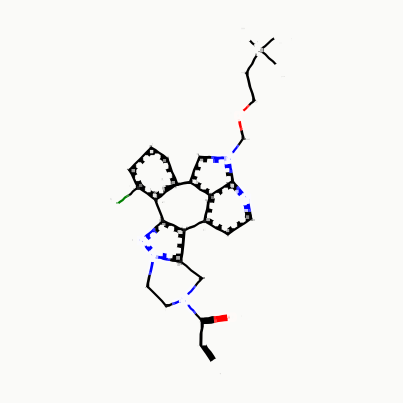 C=CC(=O)N1CCn2nc(-c3ccccc3Cl)c(-c3ccnc4c3c(C)cn4COCC[Si](C)(C)C)c2C1